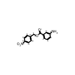 Nc1cccc(C(=O)OCc2ccc([N+](=O)[O-])cc2)c1